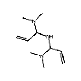 C=CC(NC(C=C)N(C)C)N(C)C